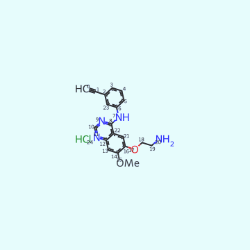 C#Cc1cccc(Nc2ncnc3cc(OC)c(OCCN)cc23)c1.Cl